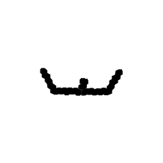 C=C(C)CCN(CCCCCCCC/C=C\CCCCCCCC)CCCCCCCC/C=C\CCCCCCCC